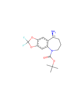 CC(C)(C)OC(=O)N1CCC[C@H](N)c2cc3c(cc21)OC(F)(F)O3